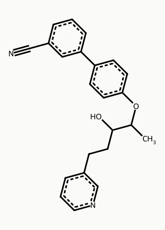 CC(Oc1ccc(-c2cccc(C#N)c2)cc1)C(O)CCc1cccnc1